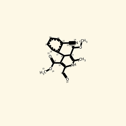 COC(=O)C1=C(C)NC(C=O)=C(C(=O)OC)C1c1ccccc1C#N